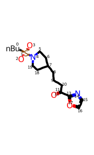 CCCCS(=O)(=O)N1CCC(CCCC(=O)c2ncco2)CC1